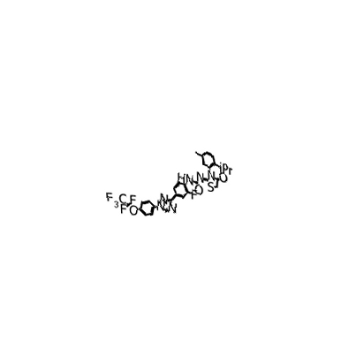 Cc1ccc(C(C)C)c(N2C(=O)CS/C2=N\C(=O)Nc2ccc(-c3ncn(-c4ccc(OC(F)(F)C(F)(F)F)cc4)n3)cc2F)c1